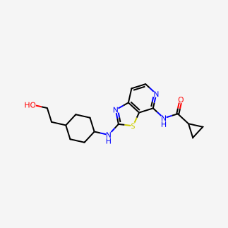 O=C(Nc1nccc2nc(NC3CCC(CCO)CC3)sc12)C1CC1